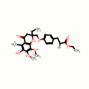 CCOC(=O)C(Br)Cc1ccc(OCC2(CC)CC(=O)c3c(C)c(O)c(OC)c(OC)c3O2)cc1